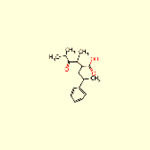 CC(C)C(=O)C(C)C(CC(C)c1ccccc1)C(=O)O